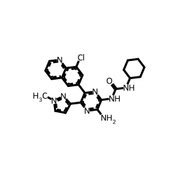 Cn1ccc(-c2nc(N)c(NC(=O)NC3CCCCC3)nc2-c2cc(Cl)c3ncccc3c2)n1